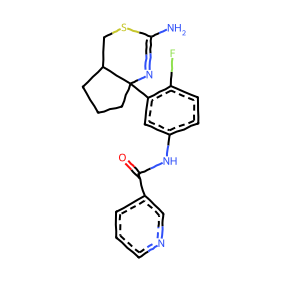 NC1=NC2(c3cc(NC(=O)c4cccnc4)ccc3F)CCCC2CS1